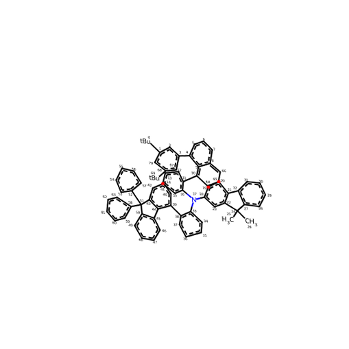 CC(C)(C)c1cc(-c2cccc3c2=C(c2ccccc2N(c2ccc4c(c2)C(C)(C)c2ccccc2-4)c2ccccc2-c2cccc4c2-c2ccccc2C4(c2ccccc2)c2ccccc2)CCC=3)cc(C(C)(C)C)c1